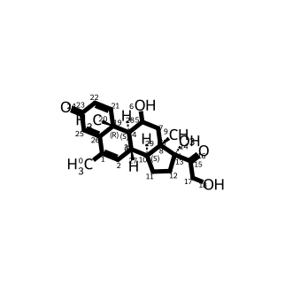 CC1=C[C@@H]2[C@H](C(O)C[C@@]3(C)[C@H]2CC[C@]3(O)C(=O)CO)[C@@]2(C)C=CC(=O)C=C12